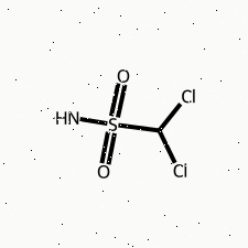 [NH]S(=O)(=O)C(Cl)Cl